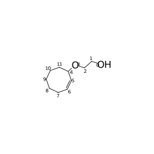 OCCOC1C=CCCCCC1